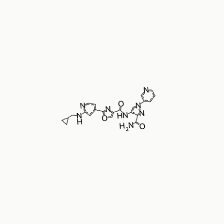 NC(=O)c1nn(-c2cccnc2)cc1NC(=O)c1coc(-c2ccnc(NCC3CC3)c2)n1